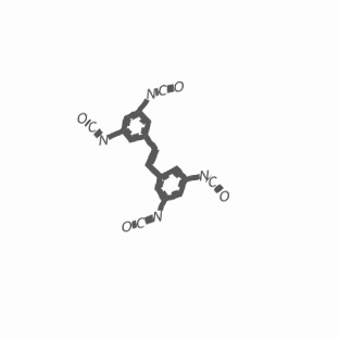 O=C=Nc1cc(/C=C/c2cc(N=C=O)cc(N=C=O)c2)cc(N=C=O)c1